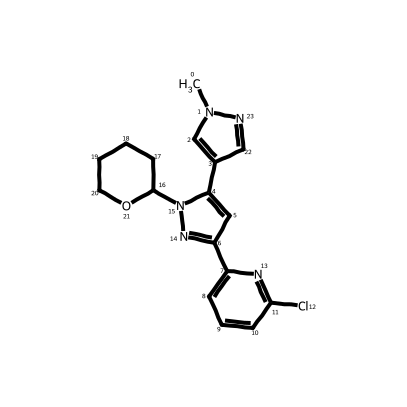 Cn1cc(-c2cc(-c3cccc(Cl)n3)nn2C2CCCCO2)cn1